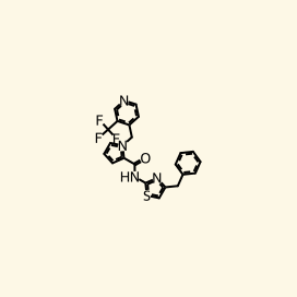 O=C(Nc1nc(Cc2ccccc2)cs1)c1cccn1Cc1ccncc1C(F)(F)F